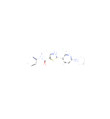 C/C=C(\C=C/CC)N1CCc2nc(-c3ccc(N4CCCC4)nc3F)sc2C1=O